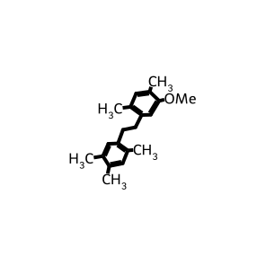 COc1cc(CCc2cc(C)c(C)cc2C)c(C)cc1C